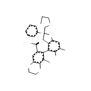 C[C@H]1c2c(cc(F)c(Cl)c2-c2c(C(N)=O)cc3c(c2F)OCCO3)O[C@@]1(c1ccccc1)[C@@H]1CCCN1